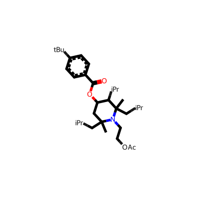 CC(=O)OCCN1C(C)(CC(C)C)CC(OC(=O)c2ccc(C(C)(C)C)cc2)C(C(C)C)C1(C)CC(C)C